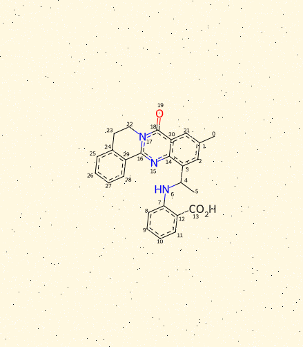 Cc1cc(C(C)Nc2ccccc2C(=O)O)c2nc3n(c(=O)c2c1)CCc1ccccc1-3